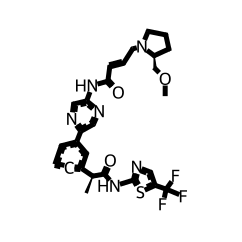 COC[C@@H]1CCCN1C/C=C/C(=O)Nc1cnc(-c2cccc([C@H](C)C(=O)Nc3ncc(C(F)(F)F)s3)c2)cn1